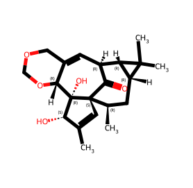 CC1=C[C@]23C(=O)[C@@H](C=C4COCO[C@H]4[C@]2(O)[C@H]1O)[C@H]1[C@@H](C[C@H]3C)C1(C)C